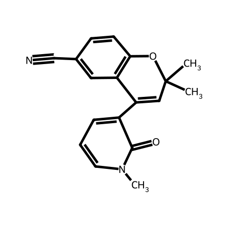 Cn1cccc(C2=CC(C)(C)Oc3ccc(C#N)cc32)c1=O